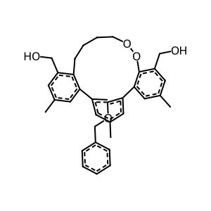 Cc1cc(CO)c2c(c1)-c1cc(C)cc(c1OCc1ccccc1)-c1cc(C)cc(CO)c1OOCCCC2